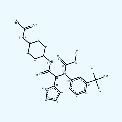 O=C(O)NC1CCC(NC(=O)C(c2cccs2)N(C(=O)CCl)c2cccc(C(F)(F)F)c2)CC1